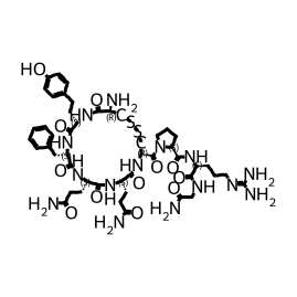 NC(=O)CC[C@@H]1NC(=O)[C@H](Cc2ccccc2)NC(=O)[C@H](CCc2ccc(O)cc2)NC(=O)[C@@H](N)CSSC[C@@H](C(=O)N2CCC[C@H]2C(=O)N[C@@H](CCCN=C(N)N)C(=O)NCC(N)=O)NC(=O)[C@H](CCC(N)=O)NC1=O